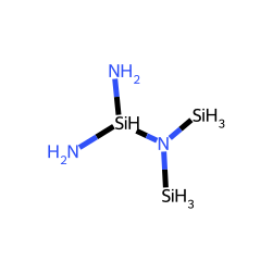 N[SiH](N)N([SiH3])[SiH3]